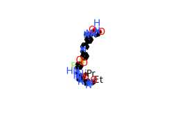 CCOC(C)n1cc(-c2ncn3nc(Nc4ccc(S(=O)(=O)c5cccc(CN6CCC(c7ccc8c(N9CCC(=O)NC9=O)nn(C)c8c7)CC6)c5)cc4F)nc3c2OC(C)C)cn1